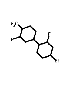 CCC1CCC(C2CCC(C(F)(F)F)C(F)C2)C(F)C1